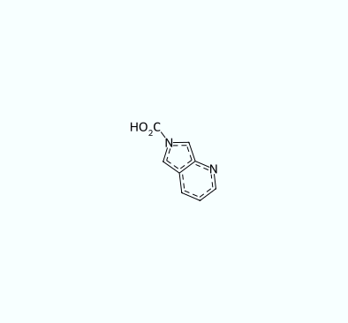 O=C(O)n1cc2cccnc2c1